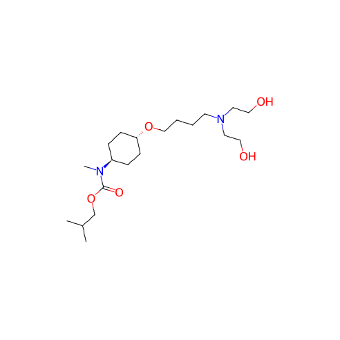 CC(C)COC(=O)N(C)[C@H]1CC[C@H](OCCCCN(CCO)CCO)CC1